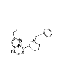 CCc1cc2nccc(C3CCCN(Cc4ccccc4)C3)n2n1